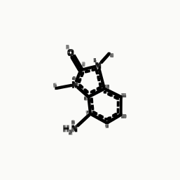 Cn1c(=O)n(C)c2c(N)cccc21